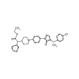 CCOC(=O)C(c1ccccc1)C1CCN(c2ccc(-n3ccn([C@@H](C)c4ccc(Cl)cc4)c3=O)cc2)CC1